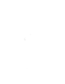 CS(=O)(=O)O[C@H]1CCN(c2ccc(Br)cc2)C1=O